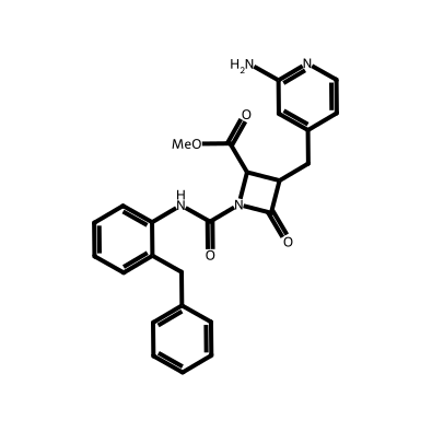 COC(=O)C1C(Cc2ccnc(N)c2)C(=O)N1C(=O)Nc1ccccc1Cc1ccccc1